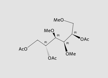 COC[C@@H](OC(C)=O)[C@@H](OC)[C@H](OC)[C@@H](COC(C)=O)OC(C)=O